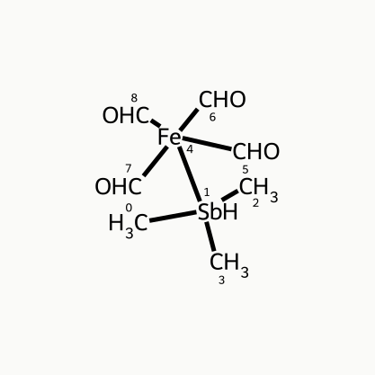 [CH3][SbH]([CH3])([CH3])[Fe]([CH]=O)([CH]=O)([CH]=O)[CH]=O